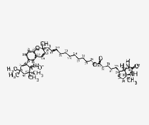 CC1(C)C=C2C(=[N+]([O-])c3c2ccc2c3C=CC(C)(C/C=C/CCCCCCCCOC(=O)CCCC[C@@H]3SC[C@]4(C)NC(=O)N[C@H]34)O2)C(C)(C)C1